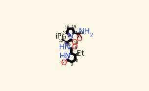 CCC1CCC(=O)NC1C(=O)N[C@@H](CC(C)C)C(=O)N1CCC[C@H]1C(N)=O